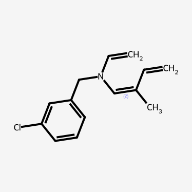 C=C/C(C)=C\N(C=C)Cc1cccc(Cl)c1